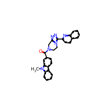 Cn1c2ccccc2c2ccc(C(=O)N3CCn4c(nnc4-c4ccc5ccccc5n4)C3)cc21